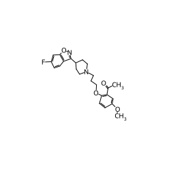 COc1ccc(OCCCN2CCC(c3noc4cc(F)ccc34)CC2)c(C(C)=O)c1